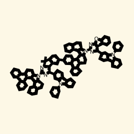 CC1(C)c2ccc(-c3ccc4c(c3)c3ccccc3c3ccc5c(c34)c3c4ccccc4ccc3n5-c3nc(-c4ccc5c6ccccc6n(-c6ccccc6)c5c4)c4c(n3)oc3ccccc34)cc2-c2c(-c3ccc4c5ccccc5n(-c5ccccc5)c4c3)nc(-n3c4ccc5ccccc5c4c4c5c6ccccc6c6ccccc6c5ccc43)nc21